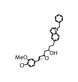 COc1cc(/C=C/C(=O)CC(O)CCc2ccc3c(ccn3Cc3ccccc3)c2)ccc1Cl